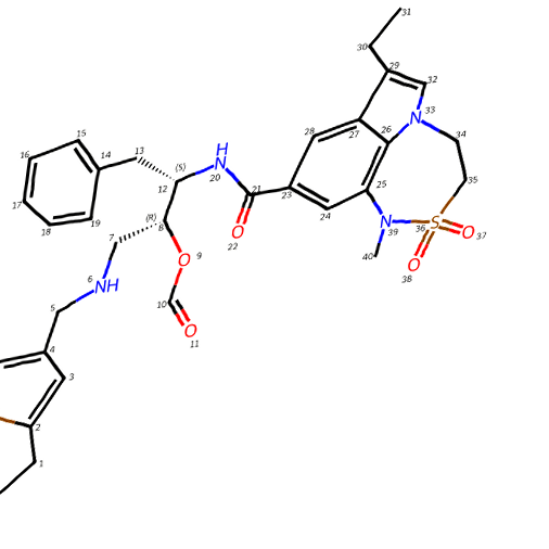 CCc1cc(CNC[C@@H](OC=O)[C@H](Cc2ccccc2)NC(=O)c2cc3c4c(c2)c(CC)cn4CCS(=O)(=O)N3C)cs1